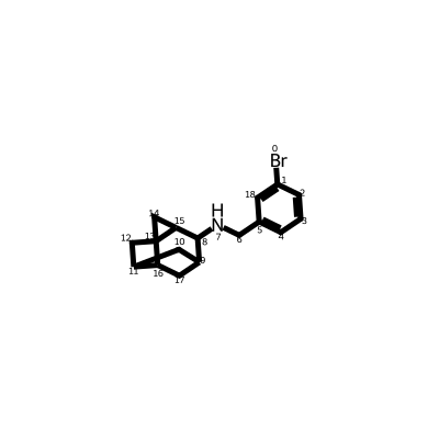 Brc1cccc(CNC2C3CC4CC5(CC25)C4C3)c1